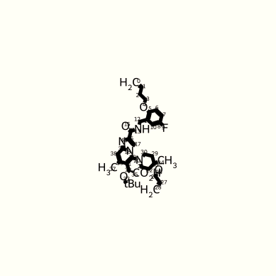 C=CCCOc1ccc(F)cc1CNC(=O)c1cn2c(N3CCC(C)(OCC=C)CC3)c([C@H](OC(C)(C)C)C(=O)O)c(C)cc2n1